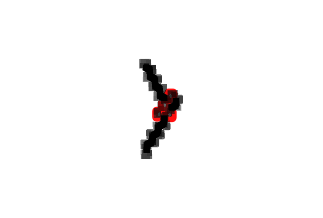 [CH2]CC(OC(=O)CCCCCCC)OC(=O)CCCCCCC